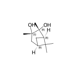 CC1(C)[C@@H]2C[C@H]1[C@@](C)(O)[C@@](C)(O)C2